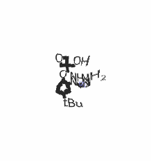 CC(C)(C)c1ccc(OCC2(CO)COC2)c(N(N)/C=N\N)c1